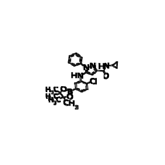 CC1(C)OB(c2ccc(Cl)c(Nc3cc(C(=O)NC4CC4)nn3-c3ccccc3)c2)OC1(C)C